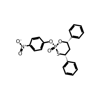 O=[N+]([O-])c1ccc(O[P@@]2(=O)O[C@H](c3ccccc3)C[C@H](c3ccccc3)S2)cc1